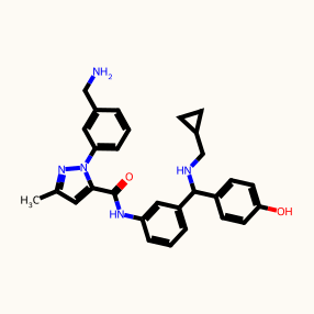 Cc1cc(C(=O)Nc2cccc(C(NCC3CC3)c3ccc(O)cc3)c2)n(-c2cccc(CN)c2)n1